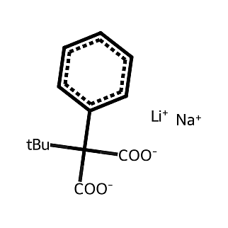 CC(C)(C)C(C(=O)[O-])(C(=O)[O-])c1ccccc1.[Li+].[Na+]